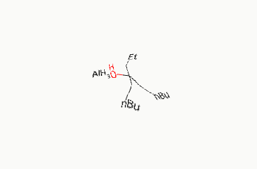 CCCCC(O)(CC)CCCC.[AlH3]